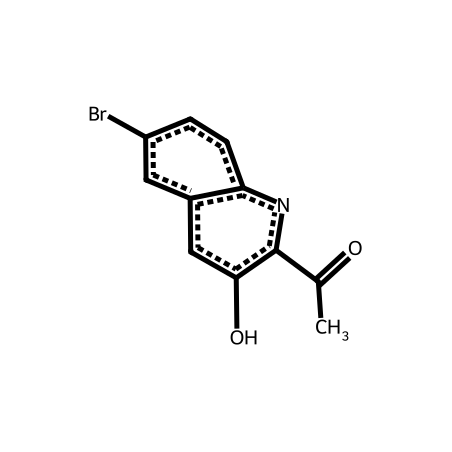 CC(=O)c1nc2ccc(Br)cc2cc1O